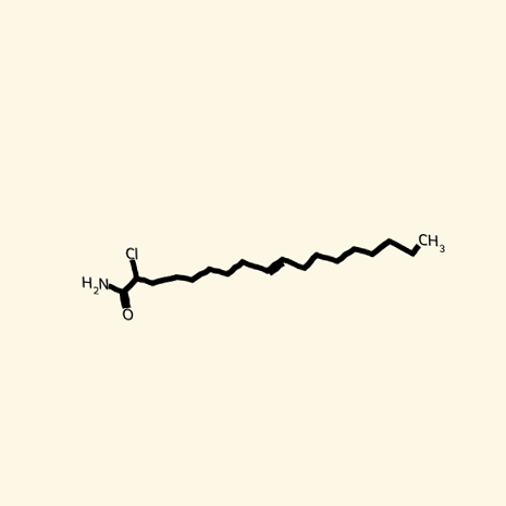 CCCCCCCCC=CCCCCCCC(Cl)C(N)=O